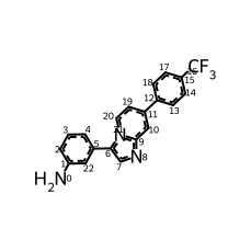 Nc1cccc(-c2cnc3cc(-c4ccc(C(F)(F)F)cc4)ccn23)c1